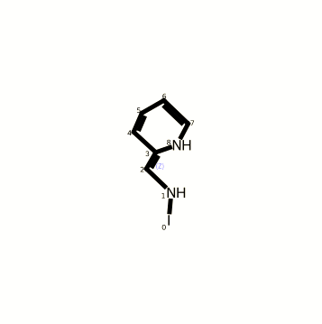 IN/C=C1/C=CC=CN1